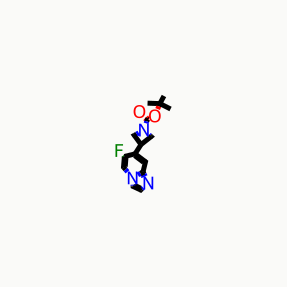 CC(C)(C)OC(=O)N1CC(c2cc3nccn3cc2F)C1